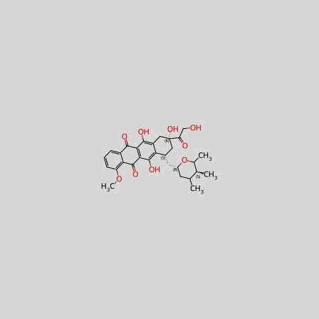 COc1cccc2c1C(=O)c1c(O)c3c(c(O)c1C2=O)C[C@@](O)(C(=O)CO)C[C@@H]3C[C@H]1CC(C)[C@H](C)C(C)O1